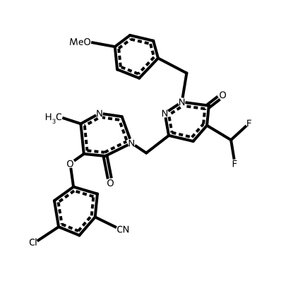 COc1ccc(Cn2nc(Cn3cnc(C)c(Oc4cc(Cl)cc(C#N)c4)c3=O)cc(C(F)F)c2=O)cc1